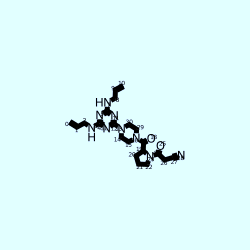 C=CCNc1nc(NCC=C)nc(N2CCN(C(=O)C3CCCN3C(=O)CC#N)CC2)n1